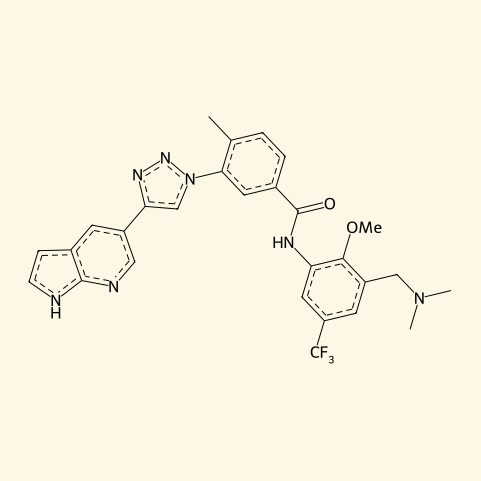 COc1c(CN(C)C)cc(C(F)(F)F)cc1NC(=O)c1ccc(C)c(-n2cc(-c3cnc4[nH]ccc4c3)nn2)c1